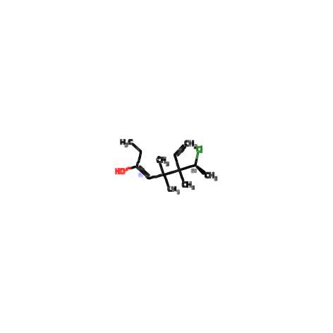 C=CC(C)([C@H](C)Cl)C(C)(C)/C=C(/O)CC